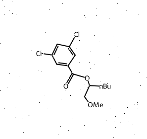 CCCCC(COC)OC(=O)c1cc(Cl)cc(Cl)c1